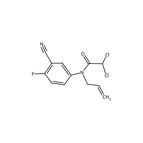 C=CCN(C(=O)C(Cl)Cl)c1ccc(F)c(C#N)c1